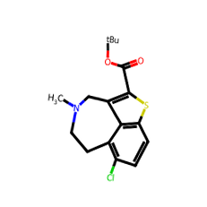 CN1CCc2c(Cl)ccc3sc(C(=O)OC(C)(C)C)c(c23)C1